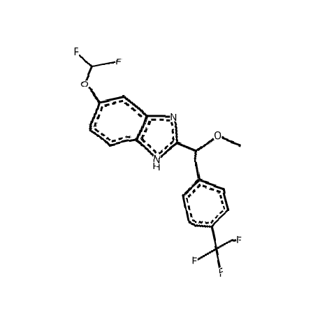 COC(c1ccc(C(F)(F)F)cc1)c1nc2cc(OC(F)F)ccc2[nH]1